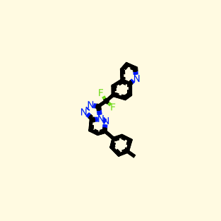 Cc1ccc(-c2ccc3nnc(C(F)(F)c4ccc5ncccc5c4)n3n2)cc1